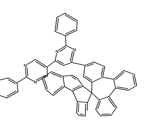 c1ccc(-c2ncc(-c3cc(-c4ccc5c(c4)C4(c6ccccc6-c6ccccc6-5)c5ccccc5-c5c4ccc4ccccc54)nc(-c4ccccc4)n3)cn2)cc1